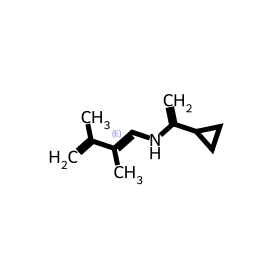 C=C(C)/C(C)=C/NC(=C)C1CC1